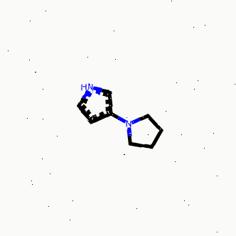 c1cc(N2CCCC2)c[nH]1